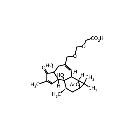 CC(=O)O[C@@]12C[C@@H](C)[C@@]3(O)[C@@H](C=C(COCOCC(=O)O)C[C@]4(O)C(=O)C(C)=C[C@@H]34)[C@@H]1C2(C)C